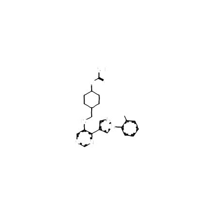 NC(=O)OC1CCC(CNc2cncnc2-c2cnn(-c3ccccc3F)c2)CC1